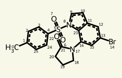 Cc1ccc(S(=O)(=O)n2ccc3cc(Br)cc(N4CCCC4=O)c32)cc1